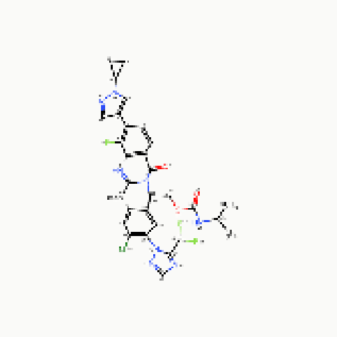 CNC(=N)N(C(=O)c1ccc(-c2cnn(C3CC3)c2)c(F)c1)[C@H](COC(=O)N[C@@H](C)C(F)(F)F)c1ccc(Cl)c(-n2ncnc2C(F)F)c1